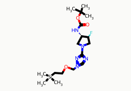 CC(C)(C)OC(=O)N[C@H]1CN(c2ncn(COCC[Si](C)(C)C)n2)C[C@@H]1F